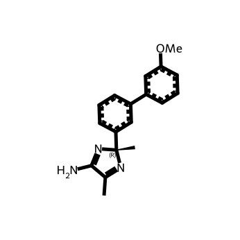 COc1cccc(-c2cccc([C@]3(C)N=C(C)C(N)=N3)c2)c1